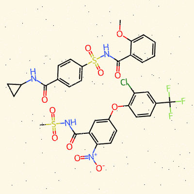 COc1ccccc1C(=O)NS(=O)(=O)c1ccc(C(=O)NC2CC2)cc1.CS(=O)(=O)NC(=O)c1cc(Oc2ccc(C(F)(F)F)cc2Cl)ccc1[N+](=O)[O-]